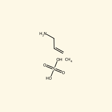 C.C=CCN.O=S(=O)(O)O